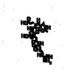 CC(=O)N[C@@H](C)C(=O)N[C@@H](CCC(=O)O)C(=O)N[C@@H](CC(=O)O)C(=O)NCC(=O)N[C@@H](CCCNC(=N)N)C(=O)O